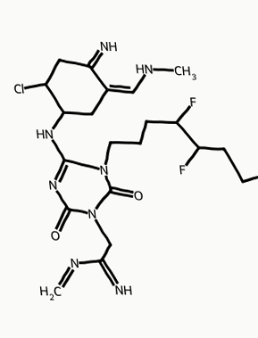 C=NC(=N)Cn1c(=O)nc(NC2C/C(=C/NC)C(=N)CC2Cl)n(CCCC(F)C(F)CCF)c1=O